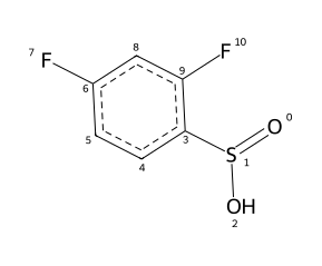 O=S(O)c1ccc(F)cc1F